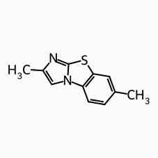 Cc1ccc2c(c1)sc1nc(C)cn12